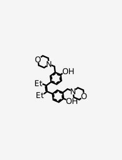 CCC(=C(CC)c1ccc(O)c(CN2CCOCC2)c1)c1ccc(O)c(CN2CCOCC2)c1